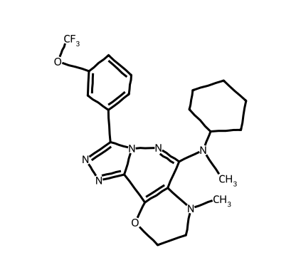 CN1CCOc2c1c(N(C)C1CCCCC1)nn1c(-c3cccc(OC(F)(F)F)c3)nnc21